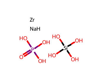 O=P(O)(O)O.O[Si](O)(O)O.[NaH].[Zr]